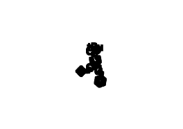 CC(C)(C)OC(=O)N1CCC(COCc2ccccc2)(COCC2CCC2)CC1